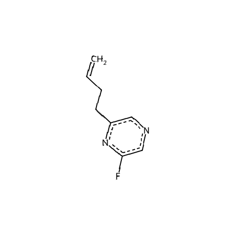 C=CCCc1cncc(F)n1